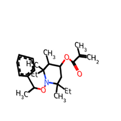 C=C(C)C(=O)OC1CC(C)(CC)N(OC(C)c2ccccc2)C(C)(CC)C1C